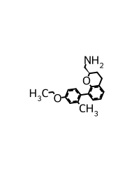 CCOc1ccc(-c2cccc3c2O[C@@H](CN)CC3)c(C)c1